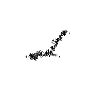 CC[C@@]1(OC(=O)OCc2ccc(NC(=O)[C@H](CCCCN)NC(=O)COCC(=O)NCCOCCN(N)/C=C(\N)CNC(=O)c3csc(-c4cnc(S(C)(=O)=O)nc4)n3)cc2)C(=O)OCc2c1cc1n(c2=O)Cc2c-1nc1ccccc1c2CCN(C(C)C)S(C)(=O)=O